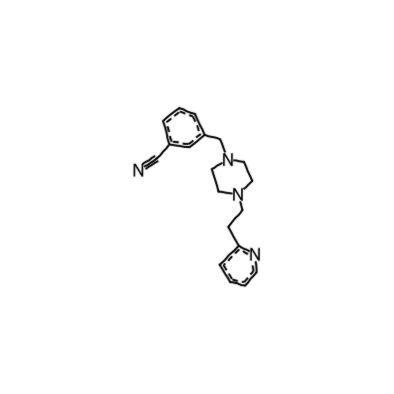 N#Cc1cccc(CN2CCN(CCc3ccccn3)CC2)c1